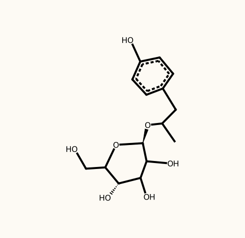 CC(Cc1ccc(O)cc1)O[C@@H]1OC(CO)[C@@H](O)C(O)C1O